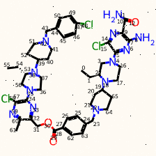 CC[C@H]1CN(c2nc(N)c(C(N)=O)nc2Cl)CCN1C1CCN(Cc2ccc(C(=O)OCc3nc(N4CCN(C5CCN(Cc6ccc(Cl)cc6)CC5)[C@@H](CC)C4)c(Cl)nc3C)cc2)CC1